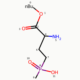 CCCCOC(=O)C(N)CCP(C)(=O)O